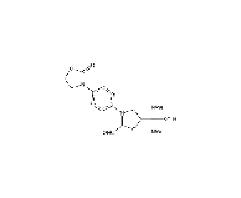 CNC(NC)(C1CN(c2ccc(N3CCOC3=O)cc2)C(C=O)O1)S(=O)(=O)O